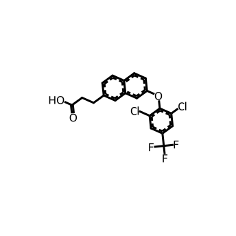 O=C(O)CCc1ccc2ccc(Oc3c(Cl)cc(C(F)(F)F)cc3Cl)cc2c1